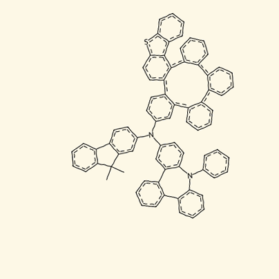 CC1(C)c2ccccc2-c2ccc(N(c3ccc4c(c3)-c3ccccc3-c3ccccc3N4c3ccccc3)c3ccc4c(c3)c3ccccc3c3ccccc3c3ccccc3c3c4ccc4sc5ccccc5c43)cc21